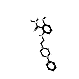 COc1cccc(NCCN2CCN(c3ccccc3)CC2)c1C(=O)N(C)C